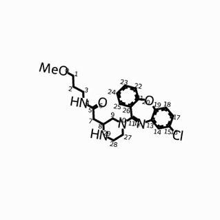 COCCCNC(=O)CC1CN(C2=Nc3cc(Cl)ccc3Oc3ccccc32)CCN1